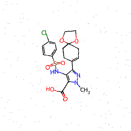 Cn1nc(C2=CCC3(CC2)OCCO3)c(NS(=O)(=O)c2ccc(Cl)cc2)c1C(=O)O